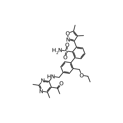 CCOCc1cc(CNc2nc(C)nc(C)c2C(C)=O)ccc1-c1cccc(-c2noc(C)c2C)c1S(N)(=O)=O